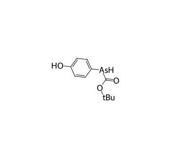 CC(C)(C)OC(=O)[AsH]c1ccc(O)cc1